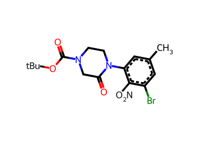 Cc1cc(Br)c([N+](=O)[O-])c(N2CCN(C(=O)OC(C)(C)C)CC2=O)c1